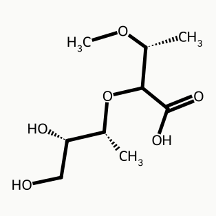 CO[C@H](C)C(O[C@H](C)[C@@H](O)CO)C(=O)O